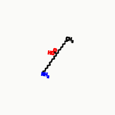 CCCCCCCCCCC(CCCCCCCCCCCCN)C(=O)O